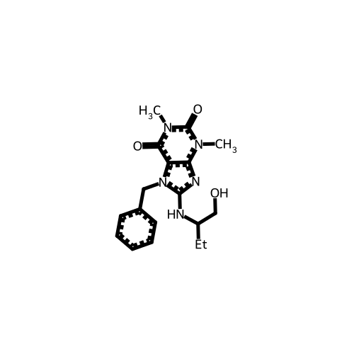 CCC(CO)Nc1nc2c(c(=O)n(C)c(=O)n2C)n1Cc1ccccc1